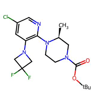 C[C@H]1CN(C(=O)OC(C)(C)C)CCN1c1ncc(Cl)cc1N1CC(F)(F)C1